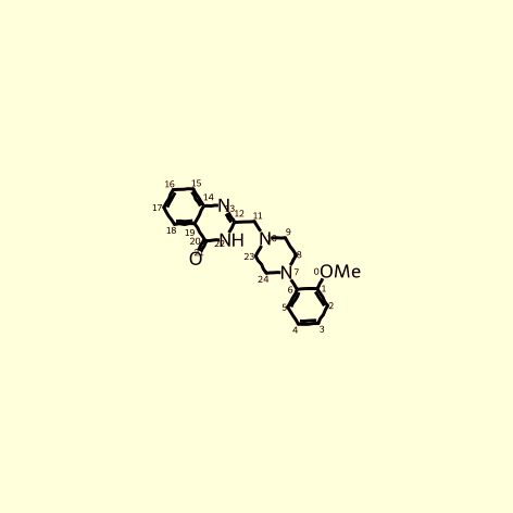 COc1ccccc1N1CCN(Cc2nc3ccccc3c(=O)[nH]2)CC1